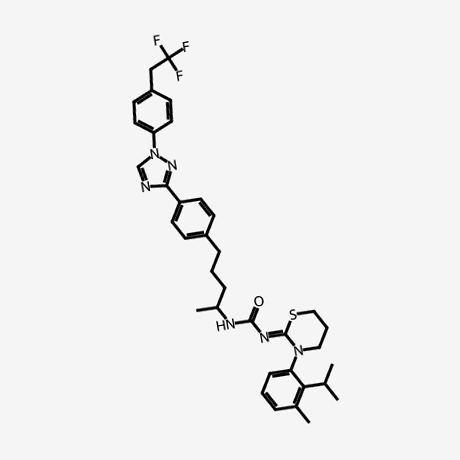 Cc1cccc(N2CCCS/C2=N\C(=O)NC(C)CCCc2ccc(-c3ncn(-c4ccc(CC(F)(F)F)cc4)n3)cc2)c1C(C)C